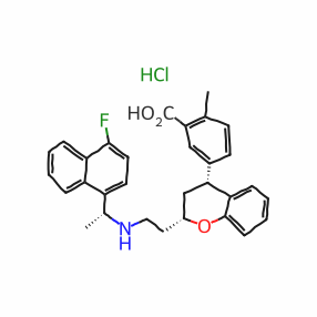 Cc1ccc([C@H]2C[C@@H](CCN[C@H](C)c3ccc(F)c4ccccc34)Oc3ccccc32)cc1C(=O)O.Cl